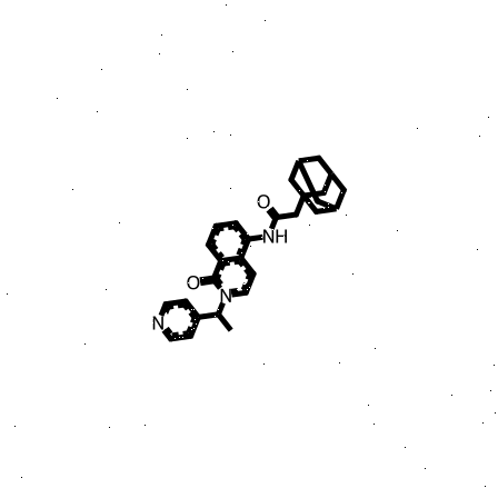 CC(c1ccncc1)n1ccc2c(NC(=O)CC34CC5CC(CC(C5)C3)C4)cccc2c1=O